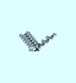 CC(C)OC(C)(C)CC#N.CC(C)OC(C)C.CC(C)OC(C)C.CC(C)OC(C)C.CC(C)OC(C)C.CC(C)OC(C)C.CC(C)OC(C)C.CC(C)OC(C)C.CC(C)OC(C)C.CC(C)OC(C)C